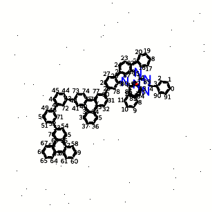 c1ccc(-c2nc(-c3ccccc3)nc(-n3c4ccccc4c4ccc5c6ccc(-c7ccc8c9ccccc9c9cc(-c%10cccc(-c%11cccc(-c%12ccc%13c%14ccccc%14c%14ccccc%14c%13c%12)c%11)c%10)ccc9c8c7)cc6n(-c6ccccc6)c5c43)n2)cc1